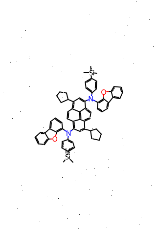 C[SiH](C)c1ccc(N(c2cc(C3CCCC3)c3ccc4c(N(c5ccc([Si](C)(C)C)cc5)c5cccc6c5oc5ccccc56)cc(C5CCCC5)c5ccc2c3c54)c2cccc3c2oc2ccccc23)cc1